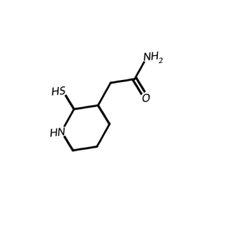 NC(=O)CC1CCCNC1S